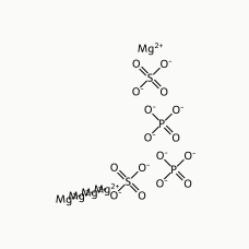 O=P([O-])([O-])[O-].O=P([O-])([O-])[O-].O=S(=O)([O-])[O-].O=S(=O)([O-])[O-].[Mg+2].[Mg+2].[Mg+2].[Mg+2].[Mg+2]